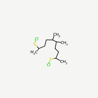 CC(CCC(C)C(C)CCC(C)SCl)SCl